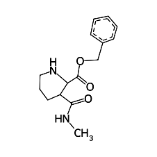 CNC(=O)C1CCCNC1C(=O)OCc1ccccc1